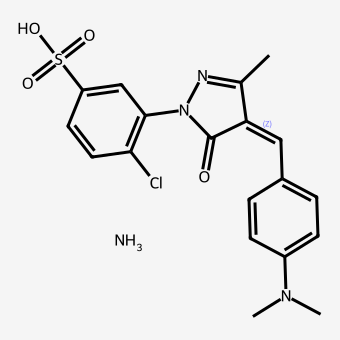 CC1=NN(c2cc(S(=O)(=O)O)ccc2Cl)C(=O)/C1=C\c1ccc(N(C)C)cc1.N